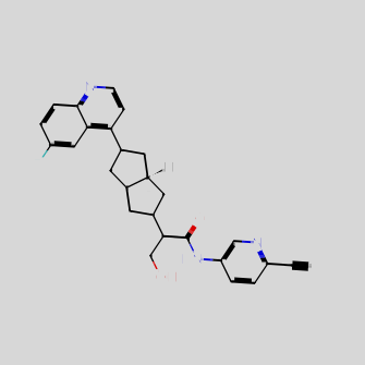 C#Cc1ccc(NC(=O)C(CO)C2CC3CC(c4ccnc5ccc(F)cc45)C[C@@H]3C2)cn1